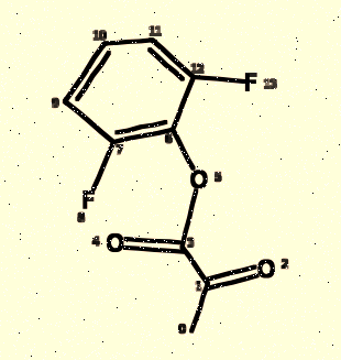 CC(=O)C(=O)Oc1c(F)cccc1F